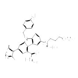 CCNC(=O)c1cc(-c2c(C)noc2C)cc2c1c1cc(N(C=O)CCCOC)ccc1n2Cc1ccc(Cl)cc1